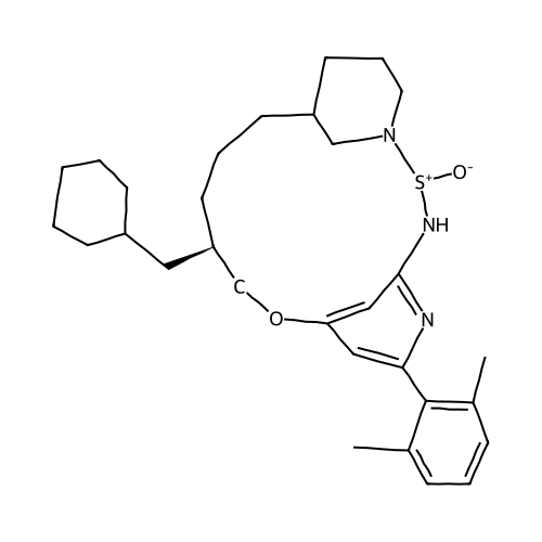 Cc1cccc(C)c1-c1cc2cc(n1)N[S+]([O-])N1CCCC(CCC[C@H](CC3CCCCC3)CO2)C1